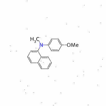 COc1ccc(N(C)c2cccc3ccccc23)cc1